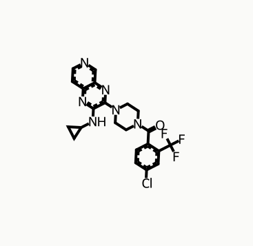 O=C(c1ccc(Cl)cc1C(F)(F)F)N1CCN(c2nc3cnccc3nc2NC2CC2)CC1